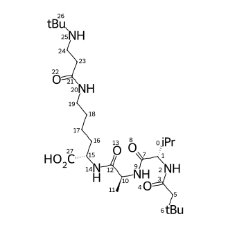 CC(C)[C@H](NC(=O)CC(C)(C)C)C(=O)N[C@@H](C)C(=O)N[C@@H](CCCCNC(=O)CCNC(C)(C)C)C(=O)O